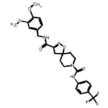 COc1ccc(CNC(=O)C2=NOC3(CCN(C(=O)Nc4ccc(C(F)(F)F)cc4)CC3)C2)cc1OC